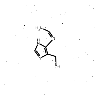 N/C=N\c1[nH]cnc1CO